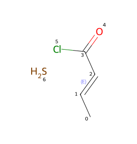 C/C=C/C(=O)Cl.S